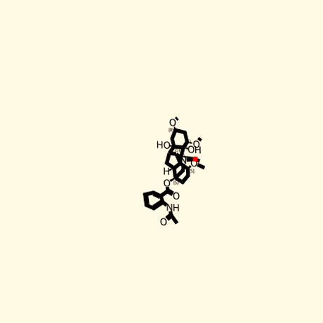 CCN1C[C@]2(OC(=O)c3ccccc3NC(C)=O)CC[C@H](OC)C34C1C(C[C@@H]32)[C@@]1(O)C[C@H](OC)C[C@H](OC)[C@@]1(O)[C@H]4C